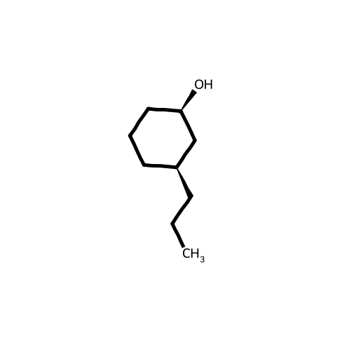 CCC[C@H]1CCC[C@@H](O)C1